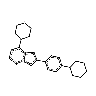 c1cc(N2CCNCC2)c2cc(-c3ccc(C4CCCCC4)cc3)cn2n1